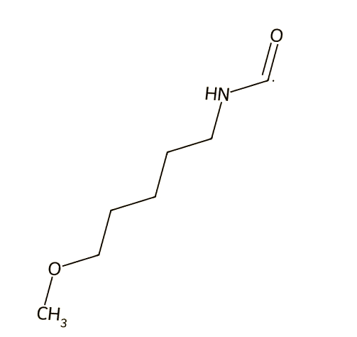 COCCCCCN[C]=O